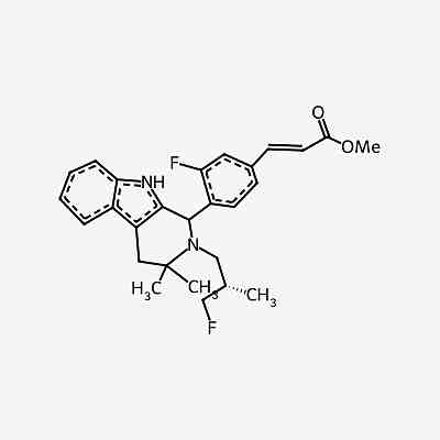 COC(=O)C=Cc1ccc(C2c3[nH]c4ccccc4c3CC(C)(C)N2C[C@H](C)CF)c(F)c1